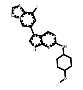 Fc1cc(-c2c[nH]c3nc(NC4CCC(OC(F)(F)F)CC4)ncc23)cn2ncnc12